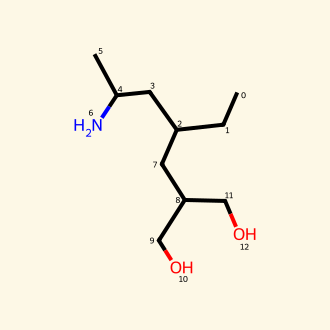 CCC(CC(C)N)CC(CO)CO